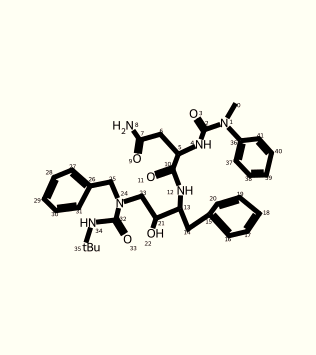 CN(C(=O)NC(CC(N)=O)C(=O)NC(Cc1ccccc1)C(O)CN(Cc1ccccc1)C(=O)NC(C)(C)C)c1ccccc1